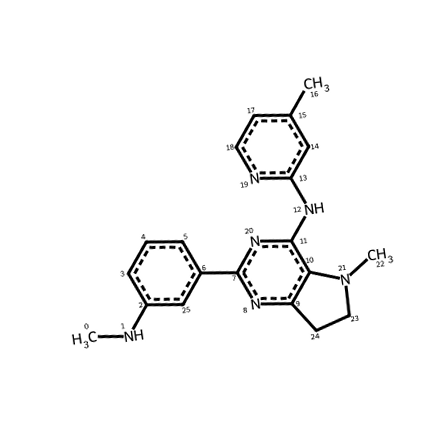 CNc1cccc(-c2nc3c(c(Nc4cc(C)ccn4)n2)N(C)CC3)c1